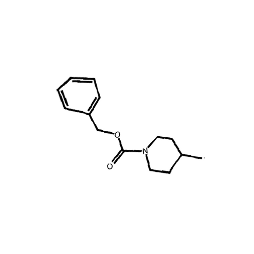 [CH2]C1CCN(C(=O)OCc2ccccc2)CC1